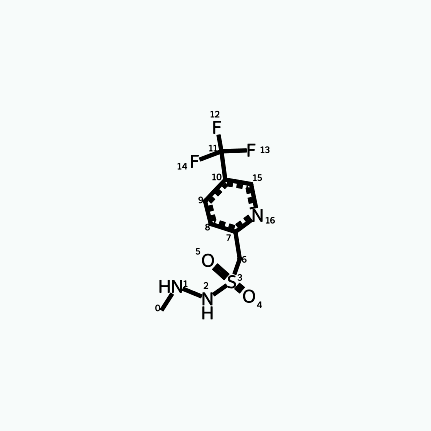 CNNS(=O)(=O)Cc1ccc(C(F)(F)F)cn1